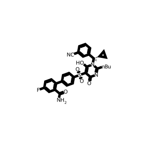 CCCCc1nc(=O)c(S(=O)(=O)c2ccc(-c3ccc(F)cc3C(N)=O)cc2)c(O)n1[C@H](c1cccc(C#N)c1)C1CC1